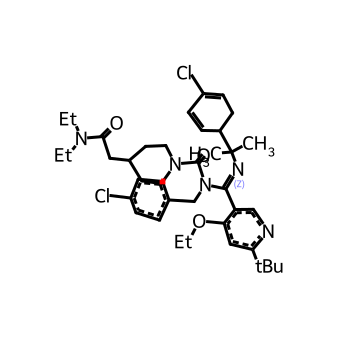 CCOc1cc(C(C)(C)C)ncc1/C(=N/C(C)(C)C1C=CC(Cl)=CC1)N(Cc1ccc(Cl)cc1)C(=O)N1CCC(CC(=O)N(CC)CC)CC1